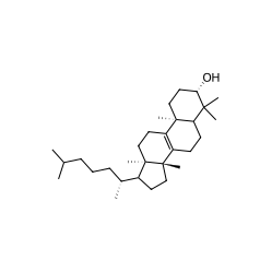 CC(C)CCC[C@@H](C)C1CC[C@@]2(C)C3=C(CC[C@]12C)[C@@]1(C)CC[C@H](O)C(C)(C)C1CC3